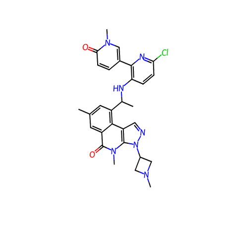 Cc1cc(C(C)Nc2ccc(Cl)nc2-c2ccc(=O)n(C)c2)c2c(c1)c(=O)n(C)c1c2cnn1C1CN(C)C1